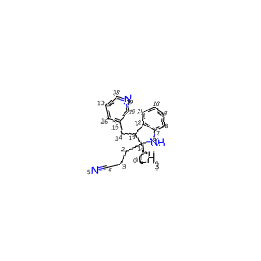 CC1(CCC#N)Nc2ccccc2C1Cc1cccnc1